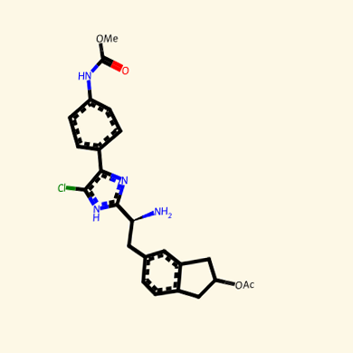 COC(=O)Nc1ccc(-c2nc([C@@H](N)Cc3ccc4c(c3)CC(OC(C)=O)C4)[nH]c2Cl)cc1